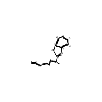 C=C/C=C\C=C(/C)C1=Nc2ccccc2C1